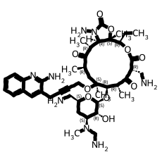 CC[C@H]1OC(=O)[C@H](CN)C(=O)[C@H](C)[C@@H](O[C@@H]2O[C@H](CN)C[C@H](N(C)CN)[C@H]2O)[C@@](C)(OCC#CCc2cc3ccccc3nc2N)C[C@@H](C)C(=O)[C@H](C)[C@H]2N(N)C(=O)O[C@]12C